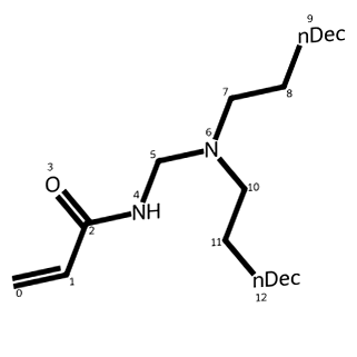 C=CC(=O)NCN(CCCCCCCCCCCC)CCCCCCCCCCCC